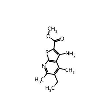 CCc1c(C)nc2sc(C(=O)OC)c(N)c2c1C